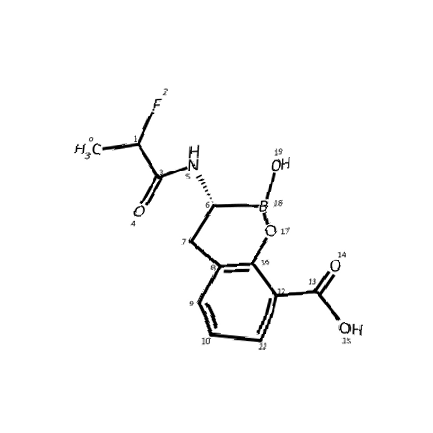 CC(F)C(=O)N[C@H]1Cc2cccc(C(=O)O)c2OB1O